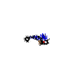 Cc1cccc(C)c1-n1nnnc1C(c1cccs1)N1CCN(C/C=C/c2ccccc2)CC1